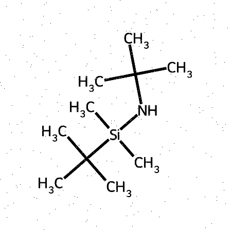 CC(C)(C)N[Si](C)(C)C(C)(C)C